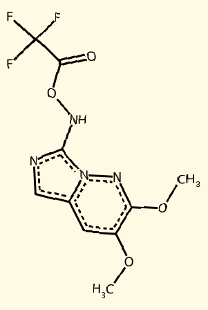 COc1cc2cnc(NOC(=O)C(F)(F)F)n2nc1OC